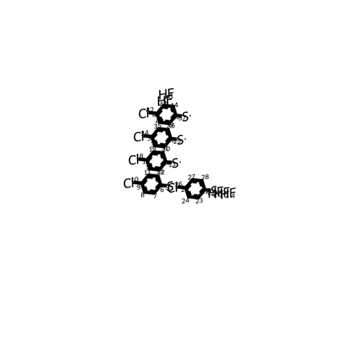 F.F.F.F.F.[S]c1ccc(Cl)cc1.[S]c1ccc(Cl)cc1.[S]c1ccc(Cl)cc1.[S]c1ccc(Cl)cc1.[S]c1ccc(Cl)cc1